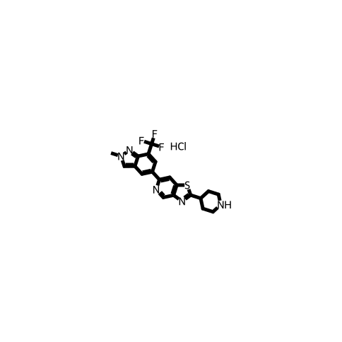 Cl.Cn1cc2cc(-c3cc4sc(C5CCNCC5)nc4cn3)cc(C(F)(F)F)c2n1